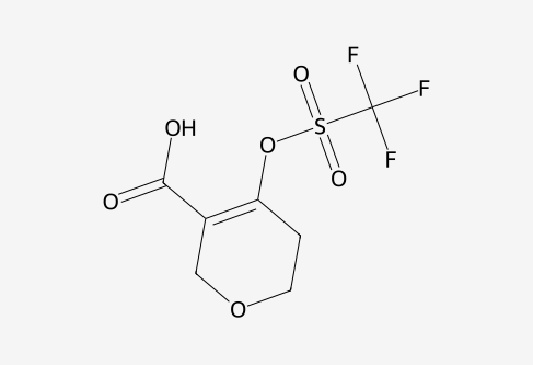 O=C(O)C1=C(OS(=O)(=O)C(F)(F)F)CCOC1